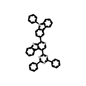 c1ccc(-c2nc(-c3ccccc3)nc(-c3cnc(-c4ccc5c(c4)c4ccccc4n5-c4ccccc4)c4sc5ccccc5c34)n2)cc1